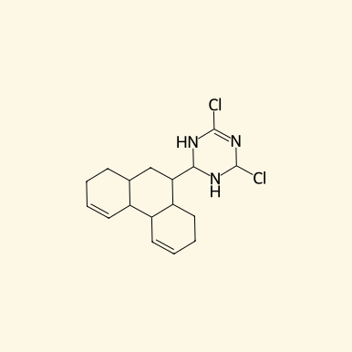 ClC1=NC(Cl)NC(C2CC3CCC=CC3C3C=CCCC32)N1